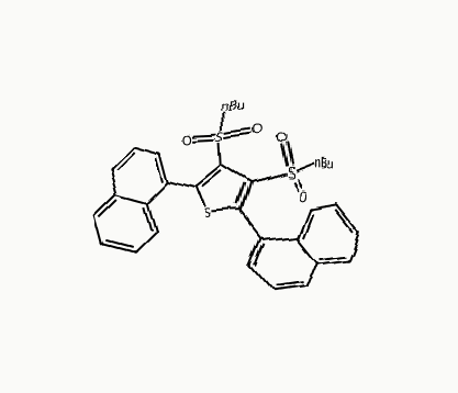 CCCCS(=O)(=O)c1c(-c2cccc3ccccc23)sc(-c2cccc3ccccc23)c1S(=O)(=O)CCCC